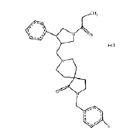 CCC(=O)N1CC(CN2CCC3(CC2)CCN(Cc2ccc(F)cc2)C3=O)C(c2ccccc2)C1.Cl